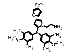 COc1c(C)cc(P(c2cc(C)c(OC)c(C)c2)c2ccc[c-]2CCN)cc1C.[Fe+2].c1cc[cH-]c1